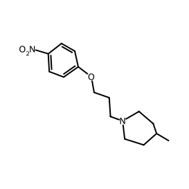 CC1CCN(CCCOc2ccc([N+](=O)[O-])cc2)CC1